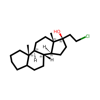 C[C@]12CCCCC1CC[C@@H]1[C@@H]2CC[C@@]2(C)[C@H]1CC[C@@]2(O)CCCl